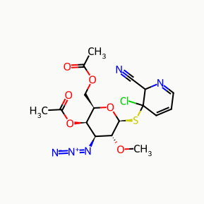 CO[C@@H]1[C@@H](N=[N+]=[N-])[C@@H](OC(C)=O)[C@@H](COC(C)=O)O[C@H]1SC1(Cl)C=CC=NC1C#N